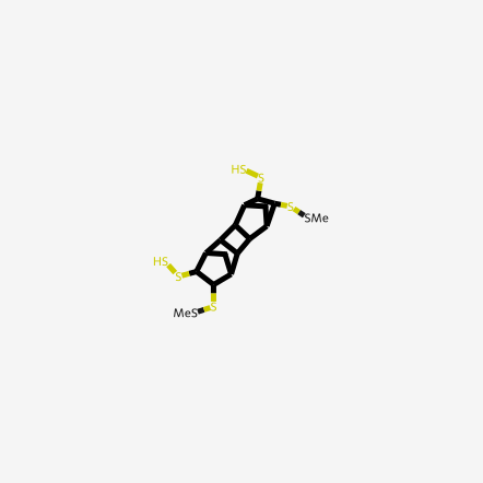 CSSC1C2CC(C1SS)C1C3C4CC(C(SSC)C4SS)C3C21